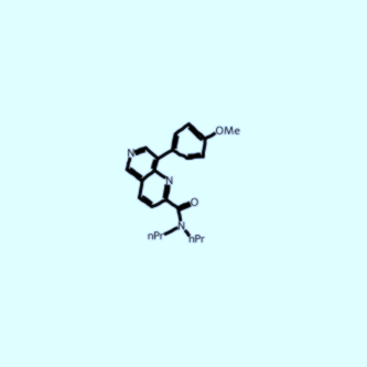 CCCN(CCC)C(=O)c1ccc2cncc(-c3ccc(OC)cc3)c2n1